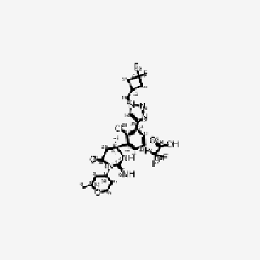 C[C@H]1C[C@@H](N2C(=N)N[C@](C)(c3cccc(-c4cn(CC5CC(F)(F)C5)nn4)c3Cl)CC2=O)CCO1.O=C(O)C(F)(F)F